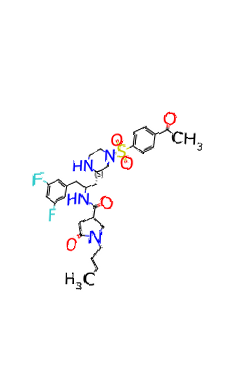 CCCCN1CC(C(=O)NC(Cc2cc(F)cc(F)c2)C[C@H]2CN(S(=O)(=O)c3ccc(C(C)=O)cc3)CCN2)CC1=O